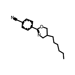 CCCCCCC1CN=C(c2ccc(C#N)cc2)OC1